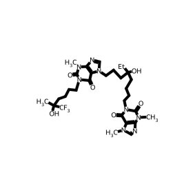 CCC(O)(CCCCn1c(=O)c2c(ncn2C)n(C)c1=O)CCCn1cnc2c1c(=O)n(CCCCC(C)(O)C(F)(F)F)c(=O)n2C